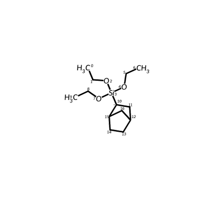 CCO[Si](OCC)(OCC)[C]1CC2CCC1C2